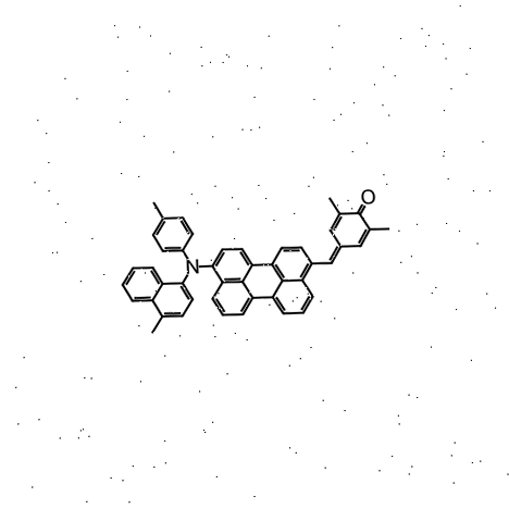 CC1=CC(=Cc2ccc3c4ccc(N(c5ccc(C)cc5)c5ccc(C)c6ccccc56)c5cccc(c6cccc2c63)c54)C=C(C)C1=O